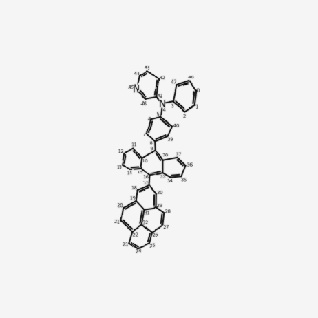 c1ccc(N(c2ccc(-c3c4ccccc4c(-c4cc5ccc6cccc7ccc(c4)c5c67)c4ccccc34)cc2)c2cccnc2)cc1